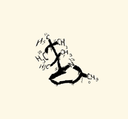 Cc1cccc(C(C)(C)C(C)(C)C)n1